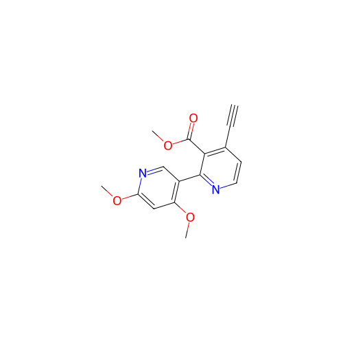 C#Cc1ccnc(-c2cnc(OC)cc2OC)c1C(=O)OC